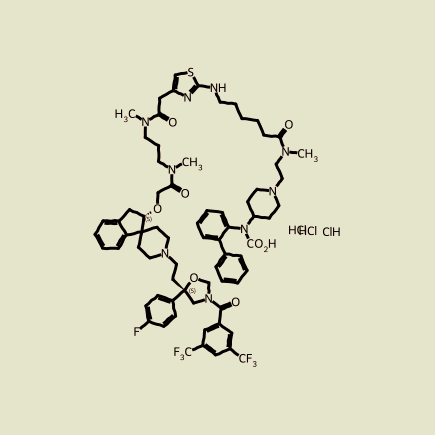 CN(CCN1CCC(N(C(=O)O)c2ccccc2-c2ccccc2)CC1)C(=O)CCCCCNc1nc(CC(=O)N(C)CCCN(C)C(=O)CO[C@H]2Cc3ccccc3C23CCN(CC[C@]2(c4ccc(F)cc4)CN(C(=O)c4cc(C(F)(F)F)cc(C(F)(F)F)c4)CO2)CC3)cs1.Cl.Cl.Cl